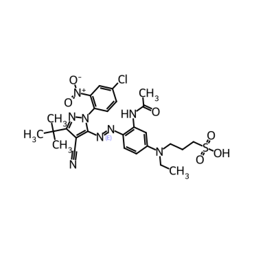 CCN(CCCS(=O)(=O)O)c1ccc(/N=N/c2c(C#N)c(C(C)(C)C)nn2-c2ccc(Cl)cc2[N+](=O)[O-])c(NC(C)=O)c1